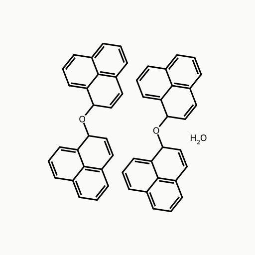 C1=CC(OC2C=Cc3cccc4cccc2c34)c2cccc3cccc1c23.C1=CC(OC2C=Cc3cccc4cccc2c34)c2cccc3cccc1c23.O